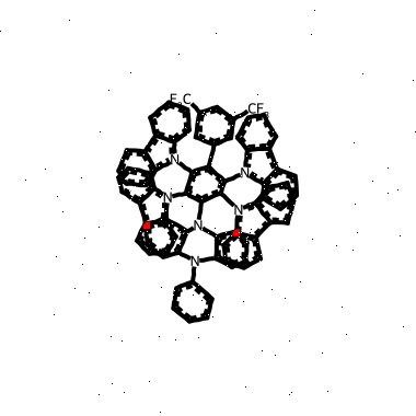 FC(F)(F)c1cc(-c2c(-n3c4ccccc4c4ccccc43)c(-n3c4ccccc4c4ccccc43)c(N3c4ccccc4N(c4ccccc4)c4ccccc43)c(-n3c4ccccc4c4ccccc43)c2-n2c3ccccc3c3ccccc32)cc(C(F)(F)F)c1